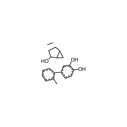 CC.Cc1ccccc1-c1ccc(O)c(O)c1.OC1CCC2CC12